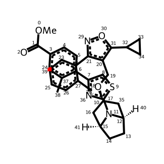 COC(=O)c1ccc(-c2csc(N3[C@@H]4CC[C@H]3C[C@@H](OCc3c(-c5ccccc5C)noc3C3CC3)C4)n2)c(C)c1